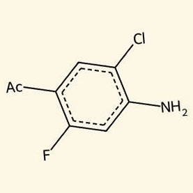 CC(=O)c1cc(Cl)c(N)cc1F